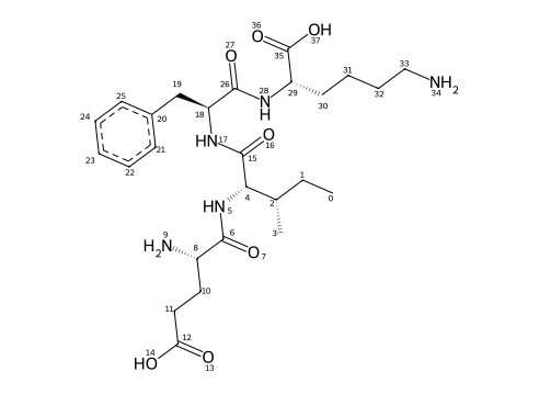 CC[C@H](C)[C@H](NC(=O)[C@@H](N)CCC(=O)O)C(=O)N[C@@H](Cc1ccccc1)C(=O)N[C@@H](CCCCN)C(=O)O